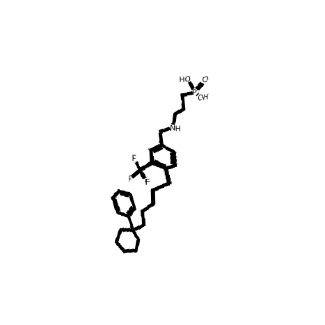 O=P(O)(O)CCCNCc1ccc(CCCCCC2(c3ccccc3)CCCCC2)c(C(F)(F)F)c1